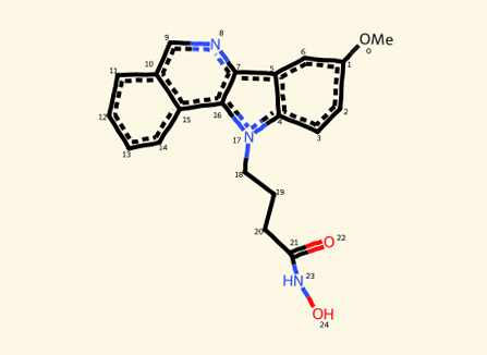 COc1ccc2c(c1)c1ncc3ccccc3c1n2CCCC(=O)NO